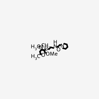 CO[C@@H]1O[C@H](C)C[C@H](N(C)C)[C@H]1OCCCNC(=O)CN1CCCCC1